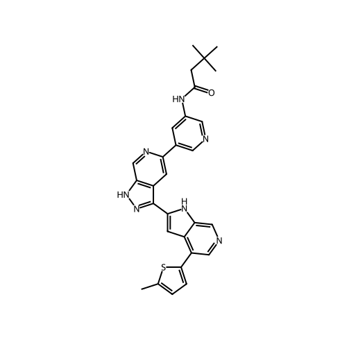 Cc1ccc(-c2cncc3[nH]c(-c4n[nH]c5cnc(-c6cncc(NC(=O)CC(C)(C)C)c6)cc45)cc23)s1